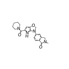 CN1Cc2cc(N3COc4cc(C(=O)N5CCCCC5)[nH]c43)ccc2C1=O